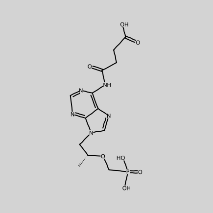 C[C@H](Cn1cnc2c(NC(=O)CCC(=O)O)ncnc21)OCP(=O)(O)O